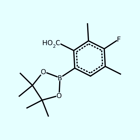 Cc1cc(B2OC(C)(C)C(C)(C)O2)c(C(=O)O)c(C)c1F